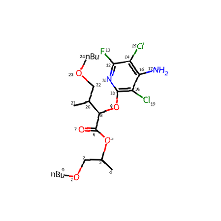 CCCCOCC(C)OC(=O)C(Oc1nc(F)c(Cl)c(N)c1Cl)C(C)COCCCC